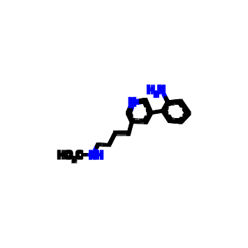 Nc1ccccc1-c1cncc(C=CCCNC(=O)O)c1